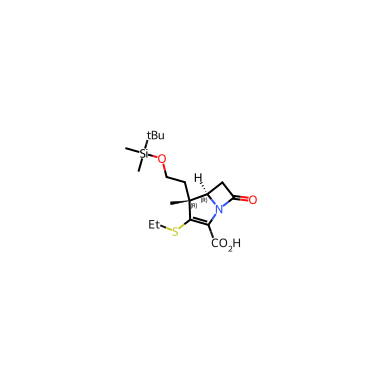 CCSC1=C(C(=O)O)N2C(=O)C[C@@H]2[C@@]1(C)CCO[Si](C)(C)C(C)(C)C